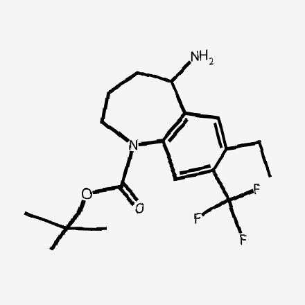 CCc1cc2c(cc1C(F)(F)F)N(C(=O)OC(C)(C)C)CCCC2N